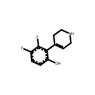 Oc1ccc(F)c(F)c1C1=CCNCC1